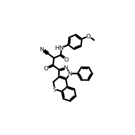 COc1ccc(NC(=O)C(C#N)C(=O)c2nn(-c3ccccc3)c3c2CSc2ccccc2-3)cc1